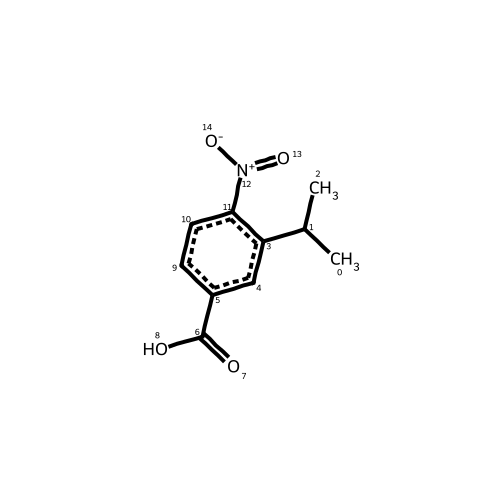 CC(C)c1cc(C(=O)O)ccc1[N+](=O)[O-]